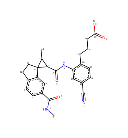 CNC(=O)c1ccc2c(c1)C1(CC2)C(C)C1C(=O)Nc1cc(C#N)ccc1CCCC(=O)O